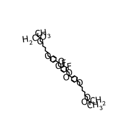 C=C(C)C(=O)OCCCCCOc1ccc(C(=O)Oc2ccc(OC(=O)c3ccc(OCCCCCOC(=O)C(=C)C)cc3)c(F)c2F)cc1